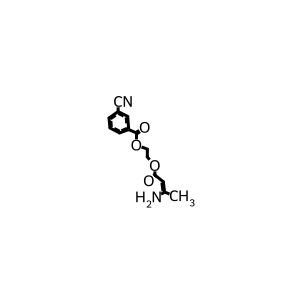 C/C(N)=C/C(=O)OCCOC(=O)c1cccc(C#N)c1